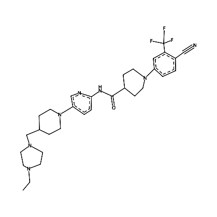 CCN1CCN(CC2CCN(c3ccc(NC(=O)C4CCN(c5ccc(C#N)c(C(F)(F)F)c5)CC4)nc3)CC2)CC1